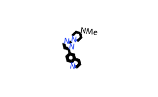 CNC1CCN(c2nccc(-c3ccc4ncccc4c3)n2)CC1